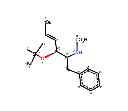 CC(C)(C)C=C[C@H](O[Si](C)(C)C(C)(C)C)[C@H](Cc1ccccc1)NC(=O)O